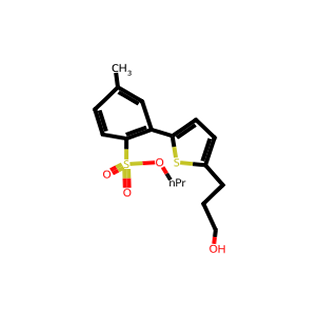 CCCOS(=O)(=O)c1ccc(C)cc1-c1ccc(CCCO)s1